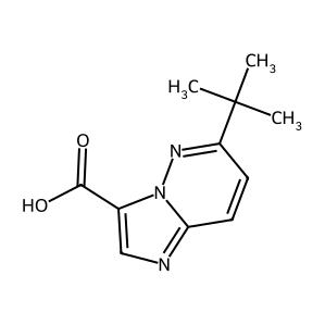 CC(C)(C)c1ccc2ncc(C(=O)O)n2n1